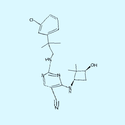 CC(C)(CNc1ncc(C#N)c(N[C@@H]2C[C@H](O)C2(C)C)n1)c1cccc(Cl)c1